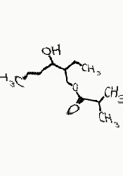 CCCC(O)C(CC)COC(=O)C(C)C